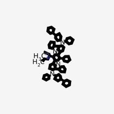 C=C/C=C(\C=C/C)c1c2c3ccc(N(c4ccccc4)c4ccc(-c5ccccc5)cc4)c4c5ccccc5n(c2c(-c2ccccc2)c2c5ccc(N(c6ccccc6)c6ccc(-c7ccccc7)cc6)c6c7ccccc7n(c12)c56)c34